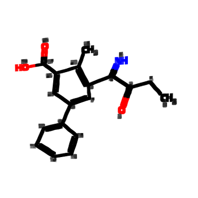 CCC(=O)C(=N)c1cc(-c2ccccc2)cc(C(=O)O)c1C